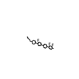 C=CCCC1CC=C(c2ccc(-c3ccc(-c4ccc(C)c(F)c4F)cc3)cc2F)CC1